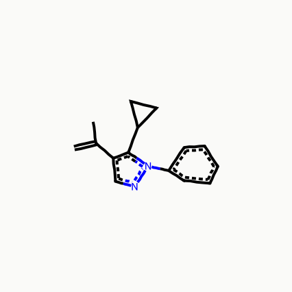 C=C(C)c1cnn(-c2ccccc2)c1C1CC1